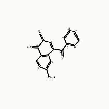 O=[C]c1ccc2c(c1)C(C(=O)c1ccccc1)=CC(=O)C2=O